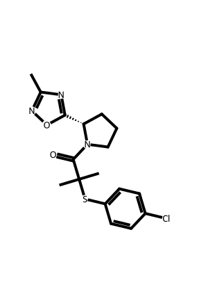 Cc1noc([C@@H]2CCCN2C(=O)C(C)(C)Sc2ccc(Cl)cc2)n1